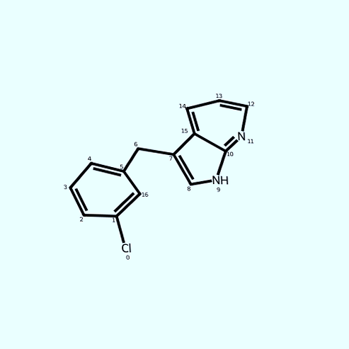 Clc1cccc(Cc2c[nH]c3ncccc23)c1